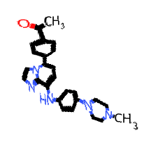 CC(=O)c1ccc(-c2ccc(Nc3ccc(N4CCN(C)CC4)cc3)c3nccn23)cc1